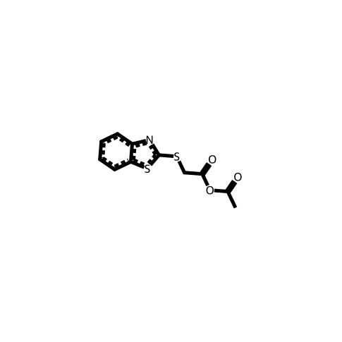 CC(=O)OC(=O)CSc1nc2ccccc2s1